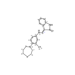 O=C1Nc2ccccc2/C1=C\Nc1ccc(N2CCCCCC2)c(C(F)(F)F)c1